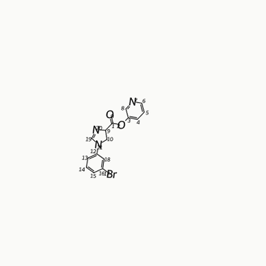 O=C(Oc1cccnc1)C1CN(c2cccc(Br)c2)C=N1